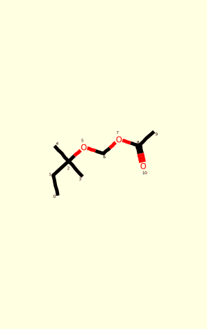 CCC(C)(C)OCOC(C)=O